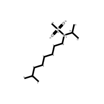 CC(C)CCCCCCN(C(C)C)S(C)(=O)=O